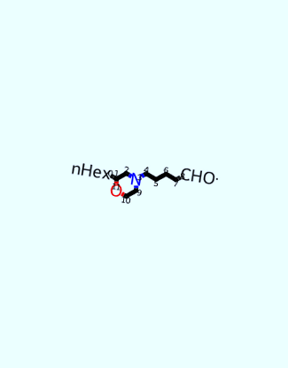 CCCCCCC1CN(CCCC[C]=O)CCO1